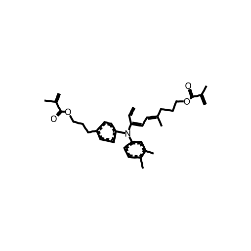 C=C/C(=C\C=C(/C)CCCOC(=O)C(=C)C)N(c1ccc(CCCOC(=O)C(=C)C)cc1)c1ccc(C)c(C)c1